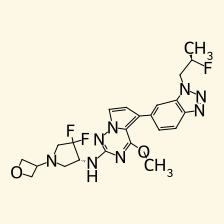 COc1nc(N[C@@H]2CN(C3COC3)CC2(F)F)nn2ccc(-c3ccc4nnn(C[C@@H](C)F)c4c3)c12